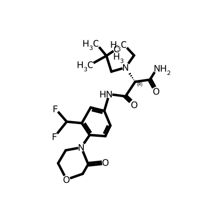 CCN(CC(C)(C)C)[C@H](C(N)=O)C(=O)Nc1ccc(N2CCOCC2=O)c(C(F)F)c1